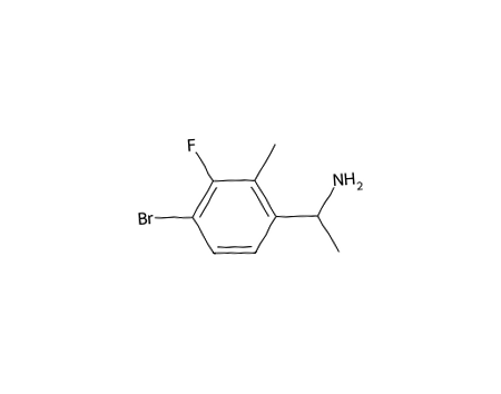 Cc1c(C(C)N)ccc(Br)c1F